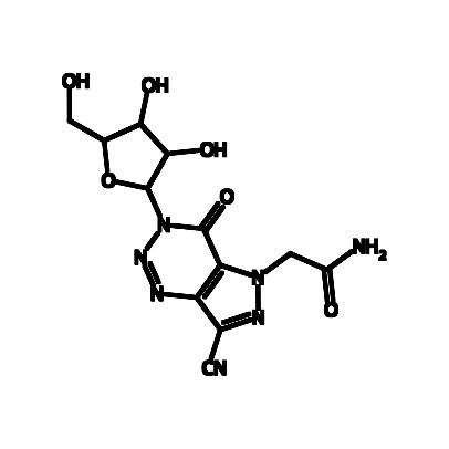 N#Cc1nn(CC(N)=O)c2c(=O)n(C3OC(CO)C(O)C3O)nnc12